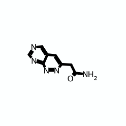 NC(=O)Cc1cc2cncnc2nn1